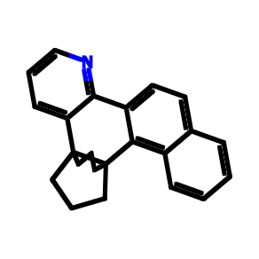 c1cnc2c(c1)C13CCCC1(CCC3)c1c-2ccc2ccccc12